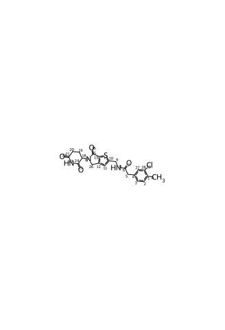 Cc1ccc(CC(=O)NCc2cc3c(s2)C(=O)N(C2CCC(=O)NC2=O)C3)cc1Cl